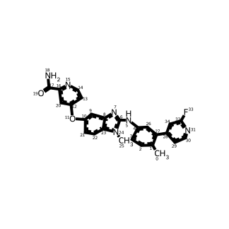 Cc1ccc(Nc2nc3cc(Oc4ccnc(C(N)=O)c4)ccc3n2C)cc1-c1ccnc(F)c1